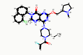 C=C(F)C(=O)N1CCN(c2nc(OCC3CCCN3C)nc3c(=O)n(-c4cccc5cccc(Cl)c45)c(C(F)(F)F)nc23)C[C@@H]1CC#N